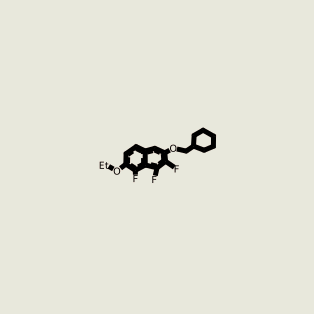 CCOc1ccc2cc(OCC3CCCCC3)c(F)c(F)c2c1F